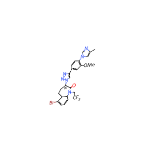 COc1cc(-c2cn([C@@H]3CCC4C(Br)=CC=CC4N(CC(F)(F)F)C3=O)nn2)ccc1-n1cnc(C)c1